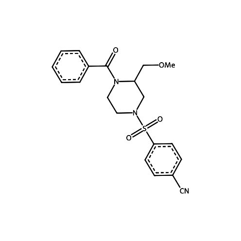 COCC1CN(S(=O)(=O)c2ccc(C#N)cc2)CCN1C(=O)c1ccccc1